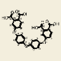 O=C(O)c1ccc(Oc2ccc(Sc3ccc(Oc4ccc(C(=O)O)c(C(=O)O)c4)cc3)cc2)cc1C(=O)O